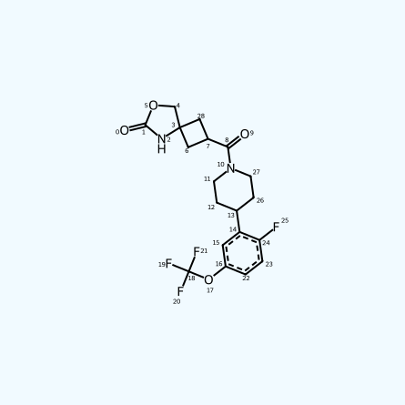 O=C1NC2(CO1)CC(C(=O)N1CCC(c3cc(OC(F)(F)F)ccc3F)CC1)C2